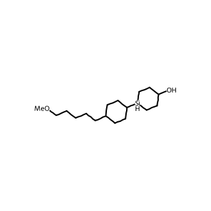 COCCCCCC1CCC([SiH]2CCC(O)CC2)CC1